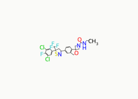 CCNC(=O)N1CC2(C1)OCc1cc(C3=NSC(c4cc(Cl)c(F)c(Cl)c4)(C(F)(F)F)C3)ccc12